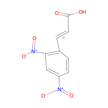 O=C(O)/C=C/c1ccc([N+](=O)[O-])cc1[N+](=O)[O-]